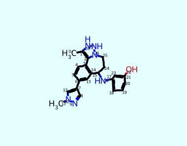 CC1=C2c3ccc(-c4cnn(C)c4)cc3C(Nc3cccc(O)c3)CCN2NN1